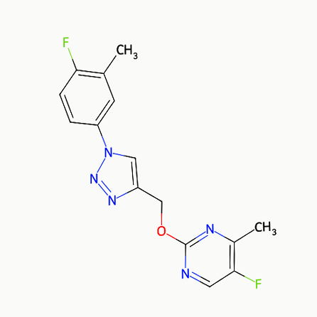 Cc1cc(-n2cc(COc3ncc(F)c(C)n3)nn2)ccc1F